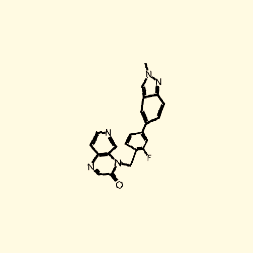 Cn1cc2cc(-c3ccc(Cn4c(=O)cnc5ccncc54)c(F)c3)ccc2n1